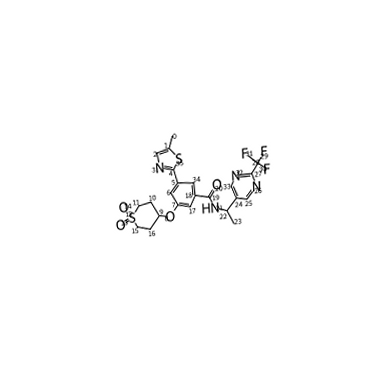 Cc1cnc(-c2cc(OC3CCS(=O)(=O)CC3)cc(C(=O)NC(C)c3cnc(C(F)(F)F)nc3)c2)s1